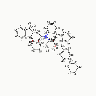 CC1(C)c2ccccc2-c2ccc(N(c3ccccc3-c3ccccc3)c3ccccc3-c3ccc(-c4ccc(C5CCCCC5)cc4)c4ccccc34)cc21